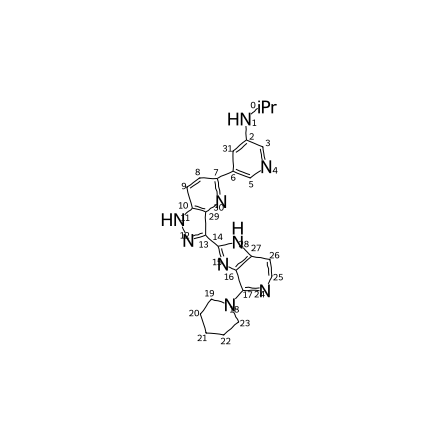 CC(C)Nc1cncc(-c2ccc3[nH]nc(-c4nc5c(N6CCCCC6)nccc5[nH]4)c3n2)c1